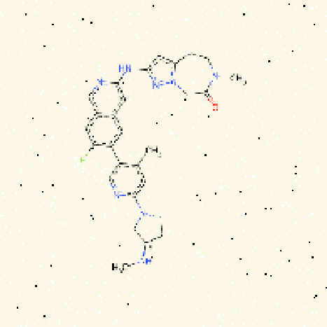 CN[C@@H]1CCN(c2cc(C)c(-c3cc4cc(Nc5cc6n(n5)CC(=O)N(C)CC6)ncc4cc3F)cn2)C1